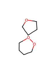 C1CCOC1.C1CCOOC1